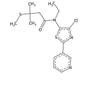 CCN(C(=O)CC(C)(C)SC)c1sc(-c2cccnc2)nc1Cl